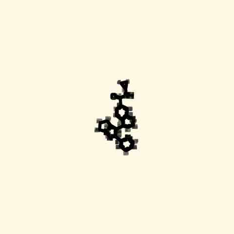 O=C(NC1CC1)c1ccc2c(-c3c(-c4ccccn4)nn4c3CCC4)ccnc2c1